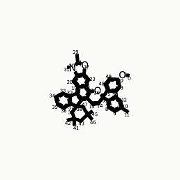 COc1ccc(C2(c3ccc(C)cc3)C=Cc3c4c(c5cc6c(cc5c3O2)OC(C)N6C)-c2ccccc2C42CC(C)(C)CC(C)(C)C2)cc1